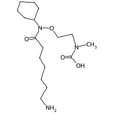 CN(CCON(C(=O)CCCCCCN)C1CCCCC1)C(=O)O